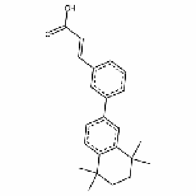 CC1(C)CCC(C)(C)c2cc(-c3cccc(C=CC(=O)O)c3)ccc21